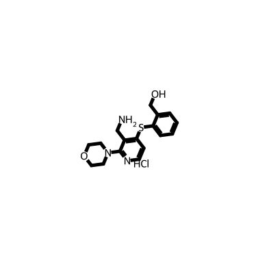 Cl.NCc1c(Sc2ccccc2CO)ccnc1N1CCOCC1